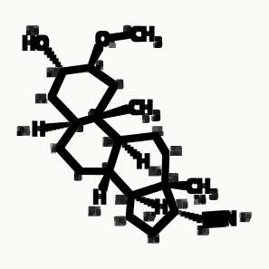 CO[C@H]1C[C@@]2(C)[C@@H](CC[C@@H]3[C@@H]2CC[C@]2(C)[C@H](C#N)CC[C@@H]32)C[C@@H]1O